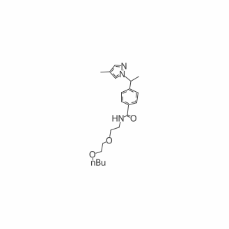 CCCCOCCOCCNC(=O)c1ccc(C(C)n2cc(C)cn2)cc1